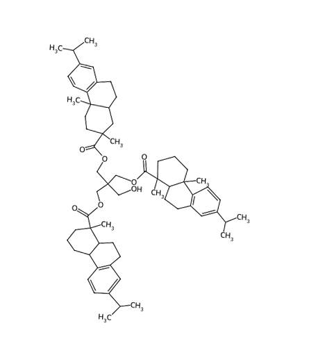 CC(C)c1ccc2c(c1)CCC1C2CCCC1(C)C(=O)OCC(CO)(COC(=O)C1(C)CCC2(C)c3ccc(C(C)C)cc3CCC2C1)COC(=O)C1(C)CCCC2(C)c3ccc(C(C)C)cc3CCC12